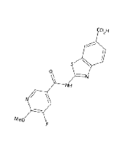 COc1ncc(C(=O)Nc2nc3ccc(C(=O)O)cc3s2)cc1F